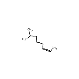 C/C=N\SCCC(C)C